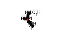 O=C(O)NC1CCC(Nc2c(F)c(Cl)c(-c3ccn4nc(NC(=O)[C@@H]5C[C@@H]5F)cc4c3)c3cn[nH]c23)CC1